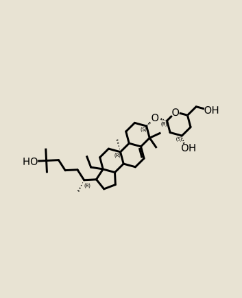 CCC12CC[C@@]3(C)C4CC[C@H](O[C@H]5C[C@@H](O)CC(CO)O5)C(C)(C)C4=CCC3C1CCC2[C@H](C)CCCC(C)(C)O